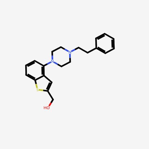 OCc1cc2c(N3CCN(CCc4ccccc4)CC3)cccc2s1